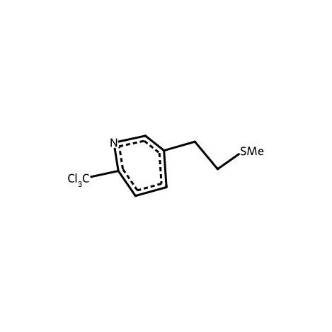 CSCCc1ccc(C(Cl)(Cl)Cl)nc1